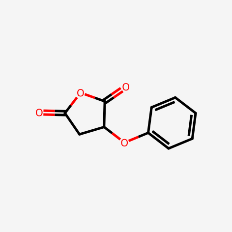 O=C1CC(Oc2ccccc2)C(=O)O1